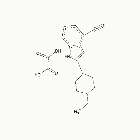 CCN1CCC(c2cc3c(C#N)cccc3[nH]2)CC1.O=C(O)C(=O)O